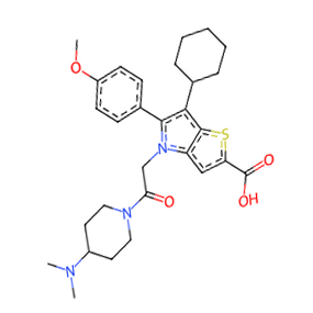 COc1ccc(-c2c(C3CCCCC3)c3sc(C(=O)O)cc3n2CC(=O)N2CCC(N(C)C)CC2)cc1